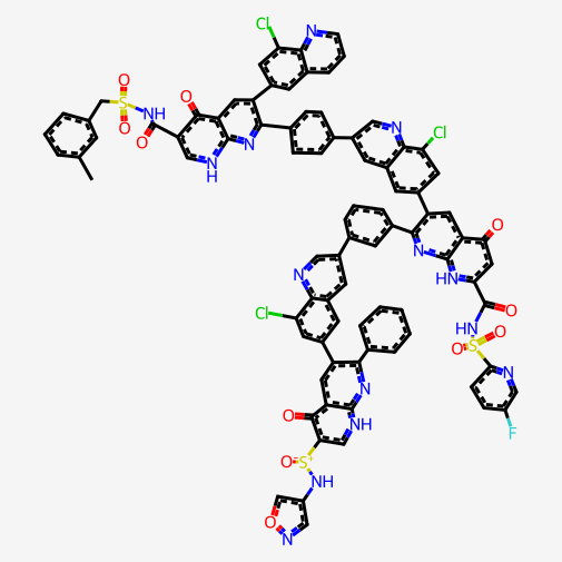 Cc1cccc(CS(=O)(=O)NC(=O)c2c[nH]c3nc(-c4ccc(-c5cnc6c(Cl)cc(-c7cc8c(=O)cc(C(=O)NS(=O)(=O)c9ccc(F)cn9)[nH]c8nc7-c7cccc(-c8cnc9c(Cl)cc(-c%10cc%11c(=O)c([S+]([O-])Nc%12cnoc%12)c[nH]c%11nc%10-c%10ccccc%10)cc9c8)c7)cc6c5)cc4)c(-c4cc(Cl)c5ncccc5c4)cc3c2=O)c1